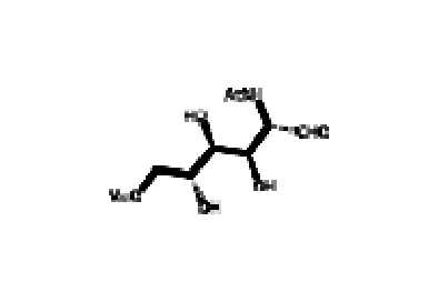 COC[C@@H](O)[C@@H](O)[C@H](O)[C@@H](C=O)NC(C)=O